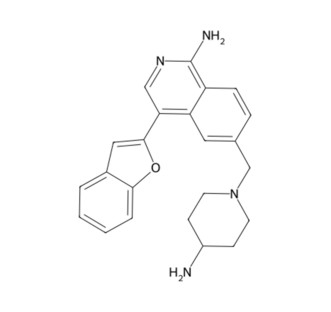 Nc1ncc(-c2cc3ccccc3o2)c2cc(CN3CCC(N)CC3)ccc12